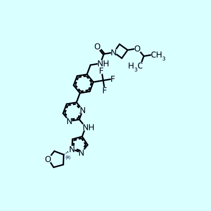 CC(C)OC1CN(C(=O)NCc2ccc(-c3ccnc(Nc4cnn([C@@H]5CCOC5)c4)n3)cc2C(F)(F)F)C1